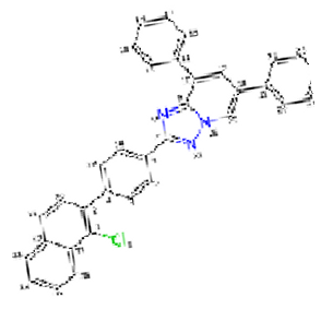 Clc1c(-c2ccc(-c3nc4c(-c5ccccc5)cc(-c5ccccc5)cn4n3)cc2)ccc2ccccc12